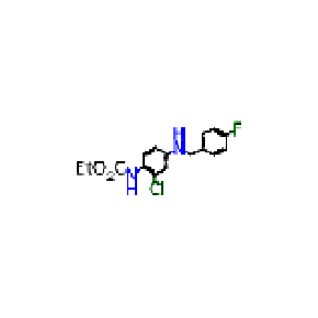 CCOC(=O)Nc1ccc(NCc2ccc(F)cc2)cc1Cl